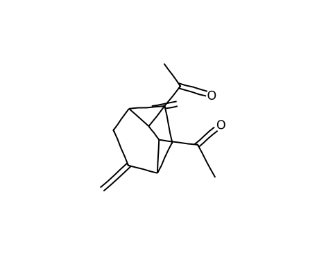 C=C1CC2C(=C)CC1C(C(C)=O)C2C(C)=O